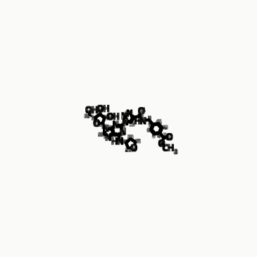 COC(=O)c1ccc(CNC(=O)c2cn(-c3nc(N[C@@H]4CCOC4)c4ncn([C@@H]5O[C@H](CO)[C@@H](O)[C@@H]5O)c4n3)nn2)cc1